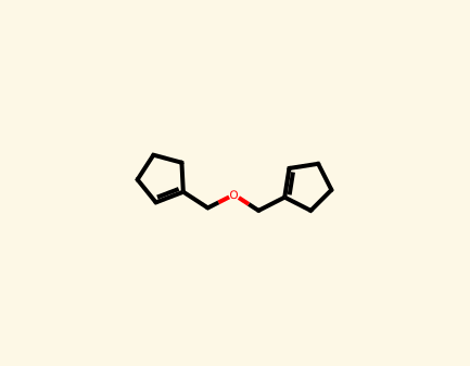 C1=C(COCC2=CCCC2)CCC1